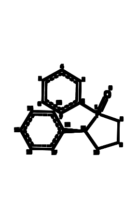 O=P1(c2ccccc2)CCC[C@H]1c1ccccc1